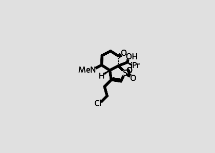 CNC1CCC(=O)[C@@]2([C@@H](O)C(C)C)[C@@H]1C(CCCl)=CS2(=O)=O